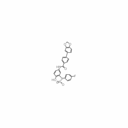 O=C(Nc1ccc(O)c(N(c2ccc(F)cc2)[SH](=O)=O)c1)c1ccc(-c2ccc3c(c2)OCO3)cc1